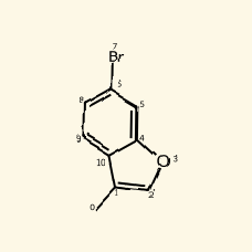 Cc1[c]oc2cc(Br)ccc12